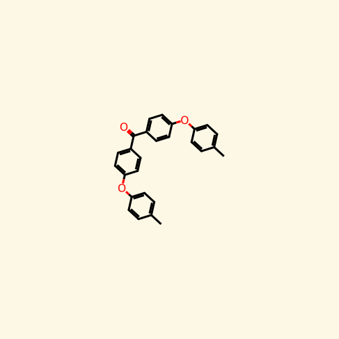 Cc1ccc(Oc2ccc(C(=O)c3ccc(Oc4ccc(C)cc4)cc3)cc2)cc1